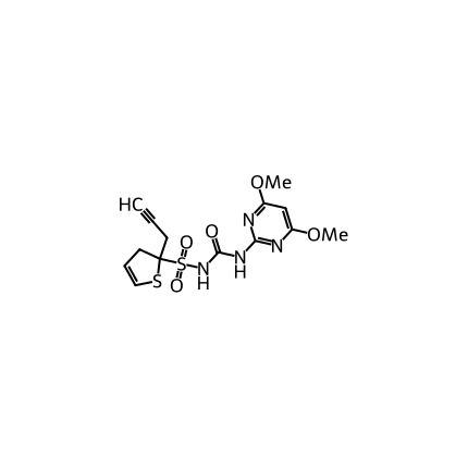 C#CCC1(S(=O)(=O)NC(=O)Nc2nc(OC)cc(OC)n2)CC=CS1